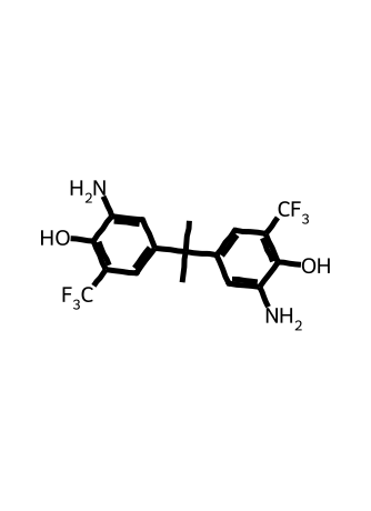 CC(C)(c1cc(N)c(O)c(C(F)(F)F)c1)c1cc(N)c(O)c(C(F)(F)F)c1